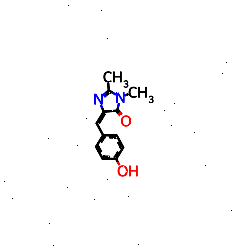 CC1=NC(=Cc2ccc(O)cc2)C(=O)N1C